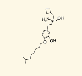 CC(C)CCCCCCOc1ccc(CC[C@@](N)(CO)CC2CCC2)cc1O